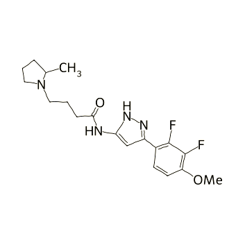 COc1ccc(-c2cc(NC(=O)CCCN3CCCC3C)[nH]n2)c(F)c1F